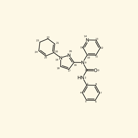 O=C(Nc1ccccc1)N(c1cccnc1)c1ccn(C2=CCCC=C2)n1